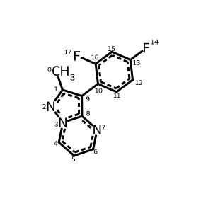 Cc1nn2cccnc2c1-c1ccc(F)cc1F